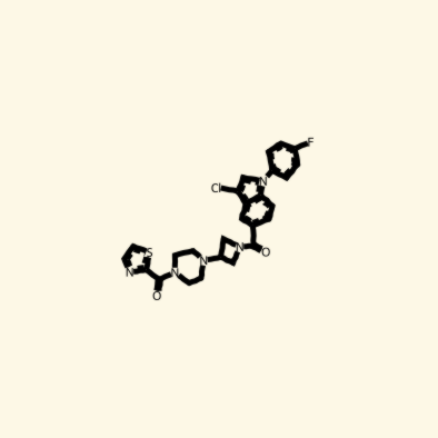 O=C(c1ccc2c(c1)c(Cl)cn2-c1ccc(F)cc1)N1CC(N2CCN(C(=O)c3nccs3)CC2)C1